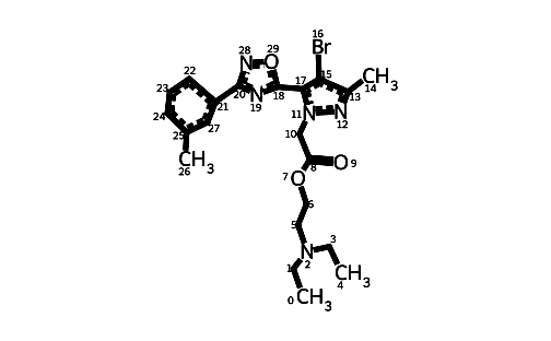 CCN(CC)CCOC(=O)Cn1nc(C)c(Br)c1-c1nc(-c2cccc(C)c2)no1